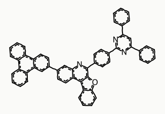 c1ccc(-c2cc(-c3ccccc3)nc(-c3ccc(-c4nc5cc(-c6ccc7c8ccccc8c8ccccc8c7c6)ccc5c5c4oc4ccccc45)cc3)n2)cc1